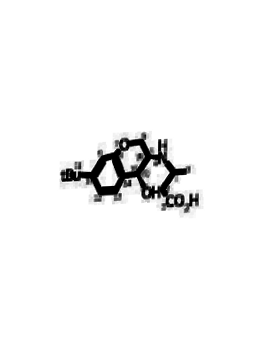 CC(CC(=O)O)N[C@@H]1COc2cc(C(C)(C)C)ccc2[C@@H]1O